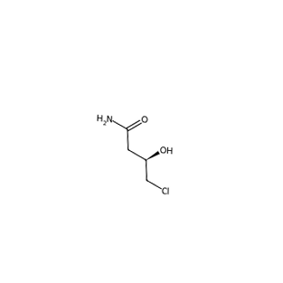 NC(=O)C[C@@H](O)CCl